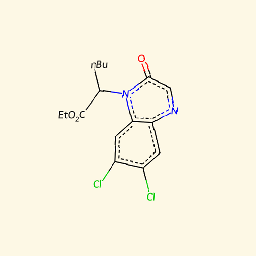 CCCCC(C(=O)OCC)n1c(=O)cnc2cc(Cl)c(Cl)cc21